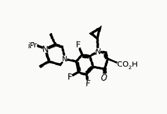 CC(C)N1C(C)CN(c2c(F)c(F)c3c(=O)c(C(=O)O)cn(C4CC4)c3c2F)CC1C